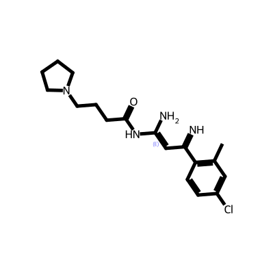 Cc1cc(Cl)ccc1C(=N)/C=C(\N)NC(=O)CCCN1CCCC1